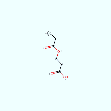 [CH2]CC(=O)OCCC(=O)O